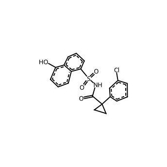 O=C(NS(=O)(=O)c1cccc2c(O)cccc12)C1(c2cccc(Cl)c2)CC1